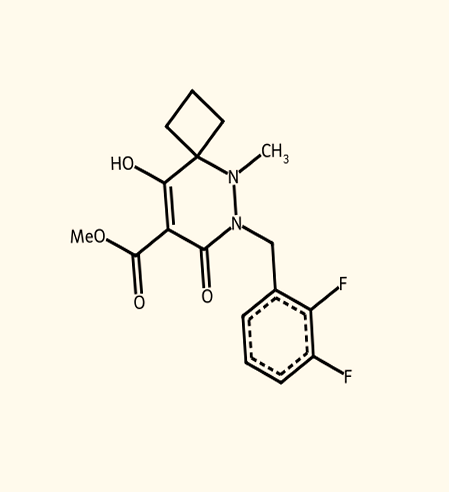 COC(=O)C1=C(O)C2(CCC2)N(C)N(Cc2cccc(F)c2F)C1=O